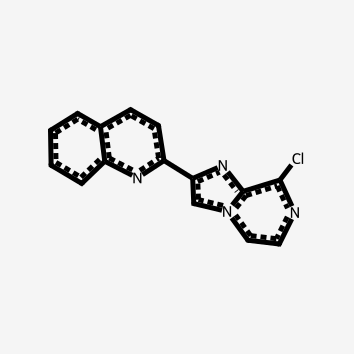 Clc1nccn2cc(-c3ccc4ccccc4n3)nc12